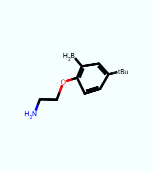 Bc1cc(C(C)(C)C)ccc1OCCN